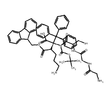 CC(C)(C)OC(=O)N(C(=O)C(CS)NC(=O)CNC(=O)CN)[C@@](C(=O)O)(C(CCCN)C(=O)OCC1c2ccccc2-c2ccccc21)C(c1ccccc1)(c1ccccc1)c1ccccc1